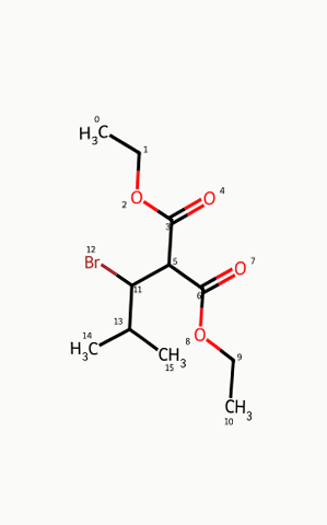 CCOC(=O)C(C(=O)OCC)C(Br)C(C)C